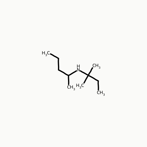 CCCC(C)NC(C)(C)CC